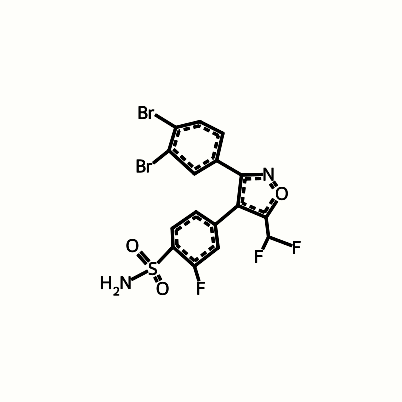 NS(=O)(=O)c1ccc(-c2c(-c3ccc(Br)c(Br)c3)noc2C(F)F)cc1F